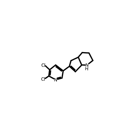 Clc1cc(C2=CC3NCCCC3C2)cnc1Cl